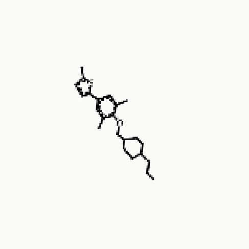 CCCC1CCC(COc2c(C)cc(-c3ccc(C)s3)cc2C)CC1